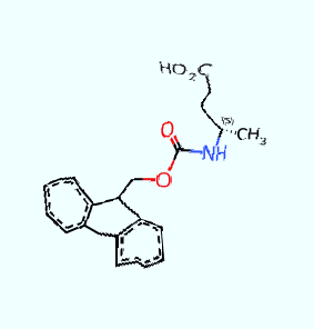 C[C@@H](CCC(=O)O)NC(=O)OCC1c2ccccc2-c2ccccc21